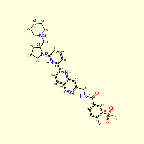 Cc1ccc(C(=O)NCc2cc3nc(-c4cccc(N5CCC[C@H]5CN5CCOCC5)n4)ccc3cn2)cc1S(C)(=O)=O